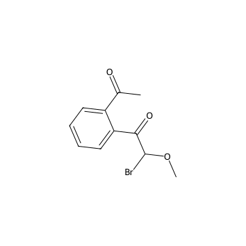 COC(Br)C(=O)c1ccccc1C(C)=O